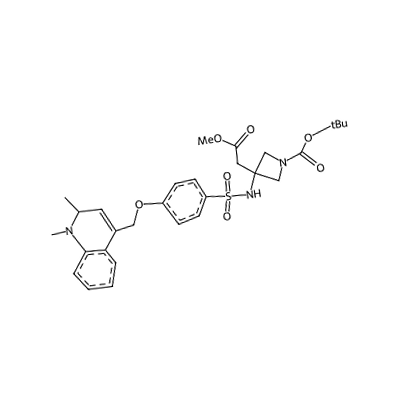 COC(=O)CC1(NS(=O)(=O)c2ccc(OCC3=CC(C)N(C)c4ccccc43)cc2)CN(C(=O)OC(C)(C)C)C1